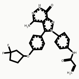 C=CC(=O)Nc1ccc(-n2nc3c(=O)[nH]nc(N)c3c2-c2ccc(OC3CCC(F)(F)C3)cc2)cc1